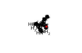 Cc1cc(O)cc(C)c1C[C@H](NC(=O)C(N)C1CCN(C(=N)N)CC1)C(=O)N[C@@H](Cc1cn(C)c2ccccc12)c1nc(Cc2ccc(-c3ccccc3)cc2)no1